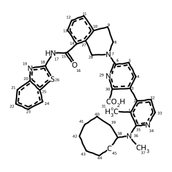 Cc1c(-c2ccc(N3CCc4cccc(C(=O)Nc5nc6ccccc6s5)c4C3)nc2C(=O)O)ccnc1N(C)C1CCCCCCC1